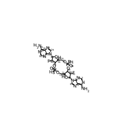 Nc1ncnc2c1ncn2[C@@H]1O[C@@H]2CO[P@@](=O)(S)OC3[C@@H](F)[C@H](n4cnc5c(N)ncnc54)O[C@@H]3CO[P@@](=O)(S)OC2[C@H]1F